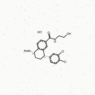 CN[C@H]1CC[C@@H](c2ccc(Cl)c(Cl)c2)c2cc(C(=O)NCCO)ccc21.Cl